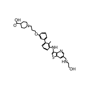 Cc1c(Nc2csc3cc(CNCCO)cnc23)cccc1-c1cccc(OCCCN2CCC(C(=O)O)CC2)c1